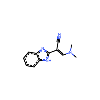 CN(C)C=C(C#N)c1nc2ccccc2[nH]1